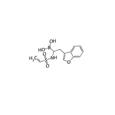 C=CS(=O)(=O)NC(Cc1coc2ccccc12)B(O)O